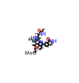 C=CC(=O)N[C@H](C)c1cc(-c2nc(-c3ccc4c(c3)C(=O)NCC4)c3ccsc3c2/C(C(=C)OCCOC)=C(F)/C=C/F)n[nH]1